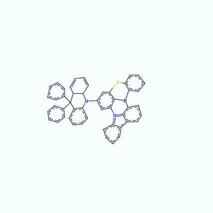 C1=CC2C(C=C1)C(c1ccccc1)(c1ccccc1)c1ccccc1N2c1cc2c3c(c1)-n1c4ccccc4c4cccc(c41)B3c1ccccc1S2